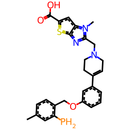 Cc1ccc(COc2cccc(C3=CCN(Cc4nc5sc(C(=O)O)cc5n4C)CC3)c2)c(P)c1